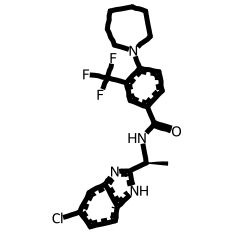 C[C@H](NC(=O)c1ccc(N2CCCCCC2)c(C(F)(F)F)c1)c1nc2cc(Cl)ccc2[nH]1